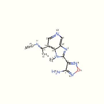 CCn1c(-c2nonc2N)nc2cncc(/C(C)=N/OC)c21